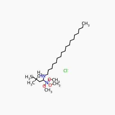 CCCCCCCCCCCCCCCCCCNC(CC(C)(C)[SiH3])[N+](OC)(OC)OC.[Cl-]